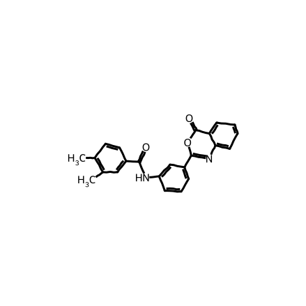 Cc1ccc(C(=O)Nc2cccc(-c3nc4ccccc4c(=O)o3)c2)cc1C